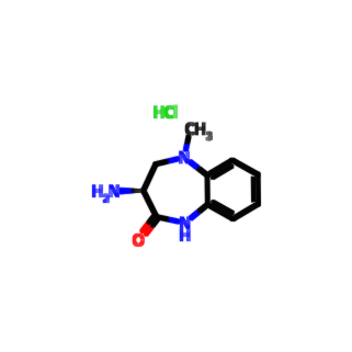 CN1C[C@H](N)C(=O)Nc2ccccc21.Cl